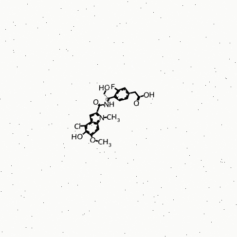 COc1cc2c(cc(C(=O)N[C@H](CO)c3ccc(CC(=O)O)cc3F)n2C)c(Cl)c1O